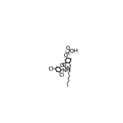 CCCCCCCN(Cc1ccc(OC(C)(C)C(=O)O)cc1)C(=O)Nc1c(Cl)cc(Cl)cc1Cl